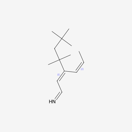 C/C=C\C(=C/C=N)C(C)(C)CC(C)(C)C